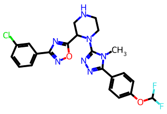 Cn1c(-c2ccc(OC(F)F)cc2)nnc1N1CCNCC1c1nc(-c2cccc(Cl)c2)no1